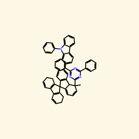 CC1(c2nc(-c3ccccc3)nc(-c3ccccc3)n2)C=CC=C2C1c1cc(-c3ccc4c5ccccc5n(-c5ccccc5)c4c3)ccc1C21C2=C(C=CCC2)C2=C1CCC=C2